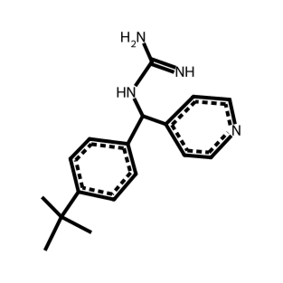 CC(C)(C)c1ccc(C(NC(=N)N)c2ccncc2)cc1